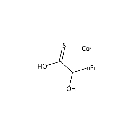 CCCC(O)C(O)=S.[Co]